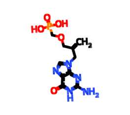 C=C(COCP(=O)(O)O)Cn1cnc2c(=O)[nH]c(N)nc21